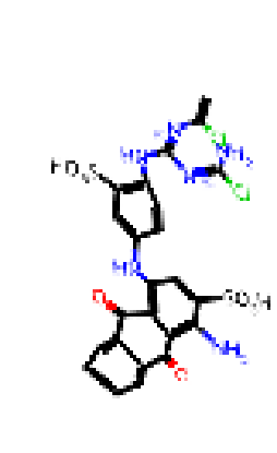 C=C(Cl)/N=C(\N=C(/N)Cl)Nc1ccc(Nc2cc(S(=O)(=O)O)c(N)c3c2C(=O)c2ccccc2C3=O)cc1S(=O)(=O)O